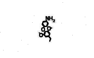 CCc1cc(OC)c(Oc2ccc(N)cc2)c(OC)c1